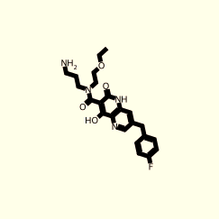 CCOCCN(CCCN)C(=O)c1c(O)c2ncc(Cc3ccc(F)cc3)cc2[nH]c1=O